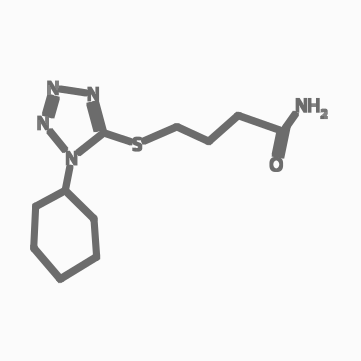 NC(=O)CCCSc1nnnn1C1CCCCC1